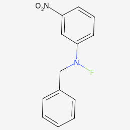 O=[N+]([O-])c1cccc(N(F)Cc2ccccc2)c1